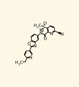 CCc1ccc(-c2nc3cc(NC(=O)c4nc(C#N)ccc4S(C)(=O)=O)ccc3o2)cn1